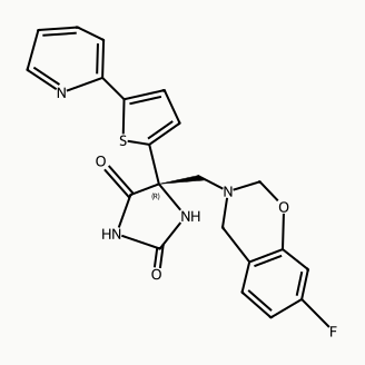 O=C1NC(=O)[C@](CN2COc3cc(F)ccc3C2)(c2ccc(-c3ccccn3)s2)N1